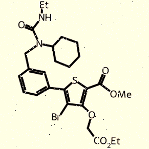 CCNC(=O)N(Cc1cccc(-c2sc(C(=O)OC)c(OCC(=O)OCC)c2Br)c1)C1CCCCC1